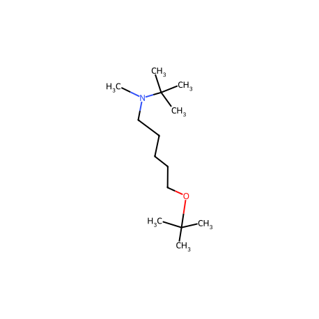 CN(CCCCCOC(C)(C)C)C(C)(C)C